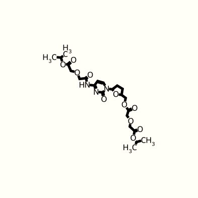 CC(C)OC(=O)COCC(=O)Nc1ccn(C2CCC(COC(=O)COCC(=O)OC(C)C)O2)c(=O)n1